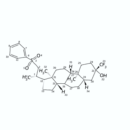 C[C@H](CS(=O)(=O)c1ccccc1)[C@H]1CC[C@H]2C3CC[C@H]4C[C@](O)(C(F)(F)F)CC[C@]4(C)[C@H]3CC[C@]12C